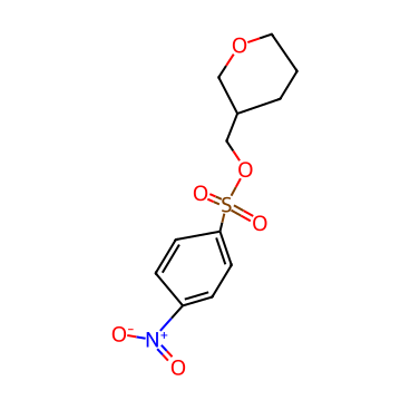 O=[N+]([O-])c1ccc(S(=O)(=O)OCC2CCCOC2)cc1